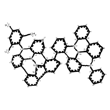 Cc1cc(C)c(N2c3cncc4c3B3c5c(cncc52)-c2c(-c5cccc6c5-c5cccc7c5B5c8c(cccc8N7c7ccccc7)-c7ccccc7N56)ccc5c6cccc-4c6n3c25)c(C)c1